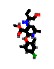 CC[C@@H](CO)Nc1cc(C)nc(Oc2c(C)cc(Br)cc2C)c1C(=O)OC